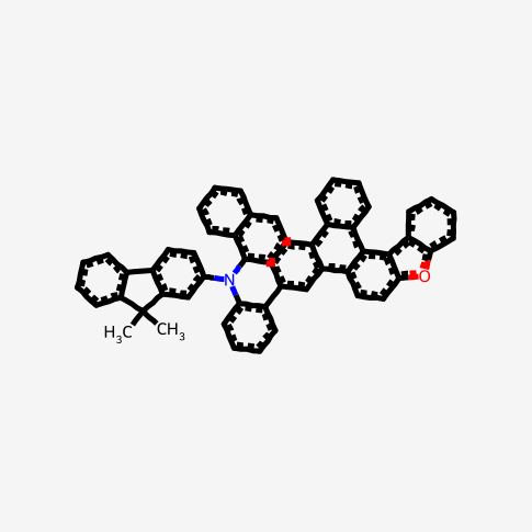 CC1(C)c2ccccc2-c2ccc(N(c3ccccc3-c3ccc4c5ccccc5c5c(ccc6oc7ccccc7c65)c4c3)c3cccc4ccccc34)cc21